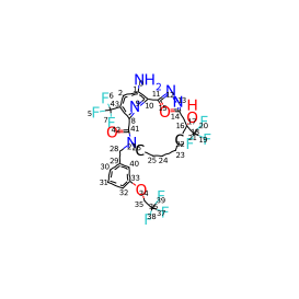 Nc1cc(C(F)(F)F)c2nc1-c1nnc(o1)[C@@](O)(C(F)(F)F)CCCCCN(Cc1cccc(OCC(F)(F)F)c1)C2=O